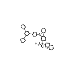 CC1(C)c2cc3ccccc3cc2-c2cc3c4ccccc4n(-c4ccc(-c5cc(-c6ccccc6)cc(-c6ccccc6)c5)cc4)c3cc21